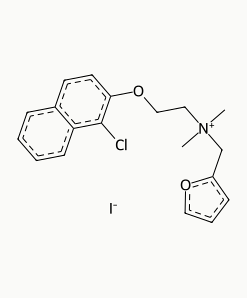 C[N+](C)(CCOc1ccc2ccccc2c1Cl)Cc1ccco1.[I-]